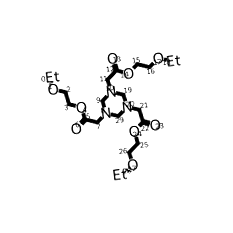 CCOCCOC(=O)CN1CN(CC(=O)OCCOCC)CN(CC(=O)OCCOCC)C1